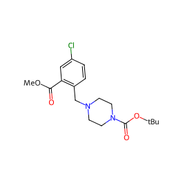 COC(=O)c1cc(Cl)ccc1CN1CCN(C(=O)OC(C)(C)C)CC1